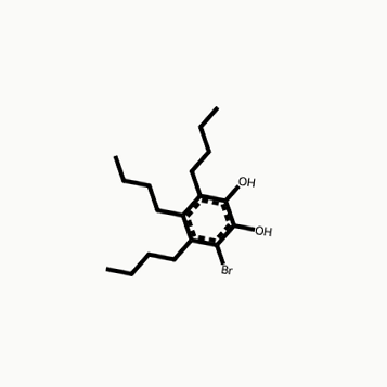 CCCCc1c(O)c(O)c(Br)c(CCCC)c1CCCC